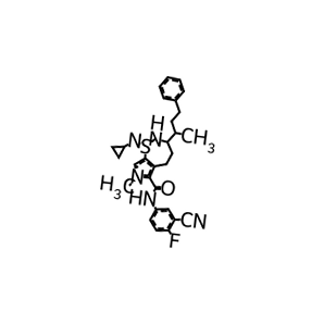 CC(CCc1ccccc1)C1CCc2c(cn(C)c2C(=O)Nc2ccc(F)c(C#N)c2)/S(=N\C2CC2)N1